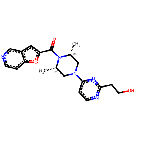 C[C@@H]1CN(c2ccnc(CCO)n2)C[C@H](C)N1C(=O)c1cc2cnccc2o1